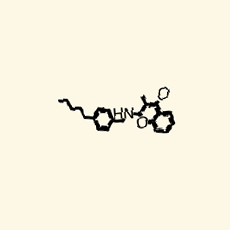 CCCCCc1ccc(CNc2oc3ccccc3c(=O)c2C)cc1